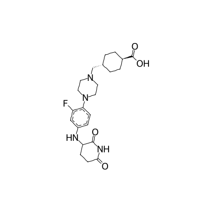 O=C1CCC(Nc2ccc(N3CCN(C[C@H]4CC[C@H](C(=O)O)CC4)CC3)c(F)c2)C(=O)N1